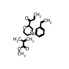 C=C(C)C(=O)OC.C=CC(=O)C1CNCCO1.C=Cc1ccccc1